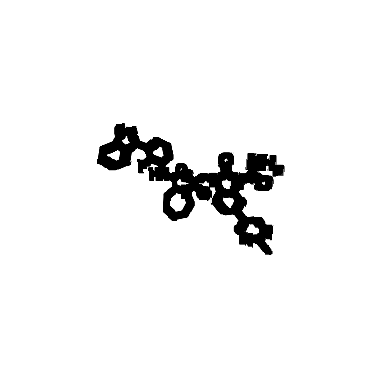 Cc1ncc(-c2ccc3c(c2)n(C(N)=O)c(=O)n3CS(=O)(=O)N2CCCCC[C@H]2C(=O)Nc2cccc(-c3csc4ccccc34)c2F)cn1